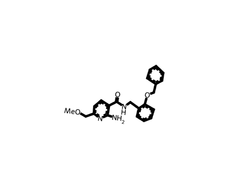 COCc1ccc(C(=O)NCc2ccccc2OCc2ccccc2)c(N)n1